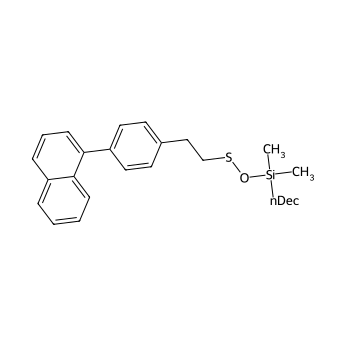 CCCCCCCCCC[Si](C)(C)OSCCc1ccc(-c2cccc3ccccc23)cc1